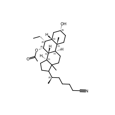 CC[C@H]1[C@@H](OC(C)=O)[C@H]2[C@@H]3CCC([C@H](C)CCCCC#N)C3(C)CC[C@@H]2[C@@]2(C)CC[C@@H](O)C[C@@H]12